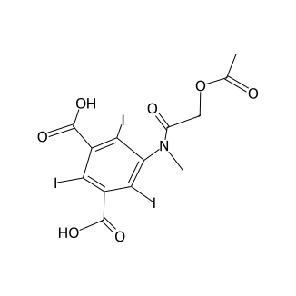 CC(=O)OCC(=O)N(C)c1c(I)c(C(=O)O)c(I)c(C(=O)O)c1I